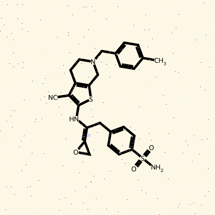 Cc1ccc(CN2CCc3c(sc(N/C(Cc4ccc(S(N)(=O)=O)cc4)=C4/CO4)c3C#N)C2)cc1